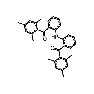 Cc1cc(C)c(C(=O)c2ccccc2Pc2ccccc2C(=O)c2c(C)cc(C)cc2C)c(C)c1